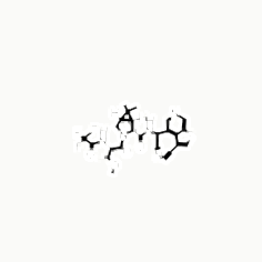 C#Cc1csc2cncc(C(C#N)NC(=O)[C@@H]3[C@@H]4[C@H](CN3C(=O)[C@@H](NC(=O)C(F)(F)F)[C@@H](C)OC)C4(C)C)c12